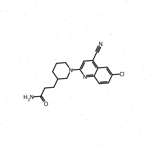 N#Cc1cc(N2CCCC(CCC(N)=O)C2)nc2ccc(Cl)cc12